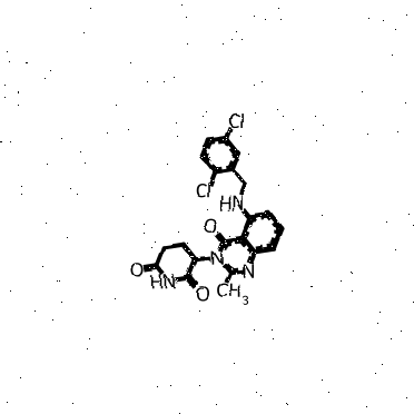 Cc1nc2cccc(NCc3cc(Cl)ccc3Cl)c2c(=O)n1C1CCC(=O)NC1=O